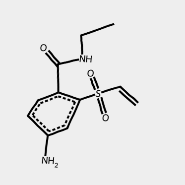 C=CS(=O)(=O)c1cc(N)ccc1C(=O)NCC